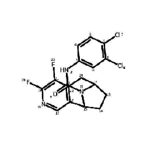 O=C(Nc1ccc(Cl)c(Cl)c1)N1C2CCC1c1cnc(F)c(F)c1C2